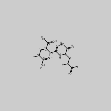 CC(=O)C(C)CC(NC(=O)N[C@@H](CC(C)C(=O)O)C(=O)O)C(=O)O